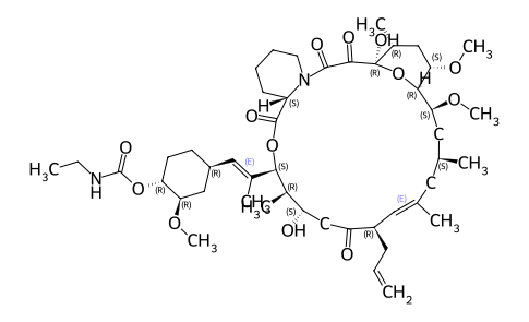 C=CC[C@@H]1/C=C(\C)C[C@H](C)C[C@H](OC)[C@H]2O[C@@](O)(C(=O)C(=O)N3CCCC[C@H]3C(=O)O[C@H](/C(C)=C/[C@@H]3CC[C@@H](OC(=O)NCC)[C@H](OC)C3)[C@H](C)[C@@H](O)CC1=O)[C@H](C)C[C@@H]2OC